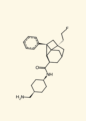 NC[C@H]1CC[C@@H](NC(=O)C23CC4CC5(C2)[C@](CCF)(C4)C[C@@]5(c2ccccc2)C3)CC1